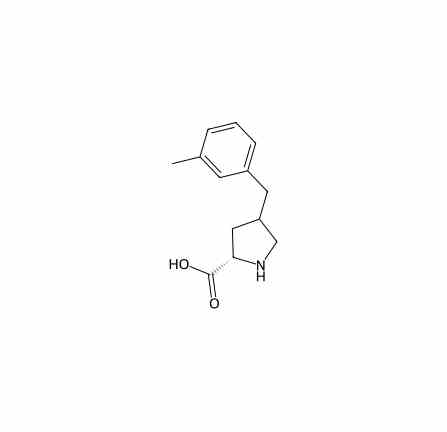 Cc1cccc(CC2CN[C@H](C(=O)O)C2)c1